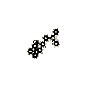 c1ccc(-c2cc(-c3cccc(-c4ccc(-c5ccc6c(c5)C5(c7ccccc7-6)c6ccccc6-c6cc7occc7cc65)cc4)c3)nc(-c3ccccc3)n2)cc1